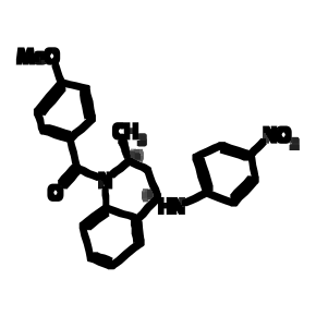 COc1ccc(C(=O)N2c3ccccc3[C@H](Nc3ccc([N+](=O)[O-])cc3)C[C@@H]2C)cc1